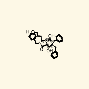 CCCC[C@H]1N[C@@H]([C@@H](O)[C@H](Cc2ccccc2)N(C(=O)O)c2ccccc2)C(=O)N1Cc1ccccc1